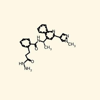 C[C@@H](NC(=O)c1ccccc1CCC(=O)NN)c1cc(-c2cnn(C)c2)nc2ccccc12